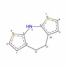 c1cc2c(s1)Nc1sccc1CC2